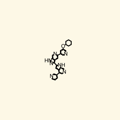 c1cncc(-c2cncc3[nH]c(-c4n[nH]c5cnc(-c6cncc(OC7CCCCC7)c6)cc45)cc23)c1